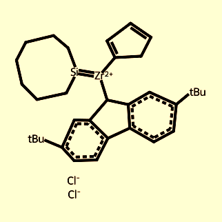 CC(C)(C)c1ccc2c(c1)[CH]([Zr+2]([C]1=CC=CC1)=[Si]1CCCCCCC1)c1cc(C(C)(C)C)ccc1-2.[Cl-].[Cl-]